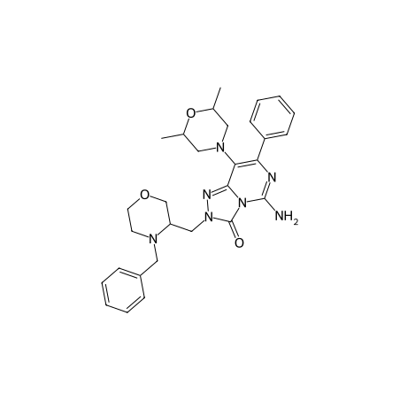 CC1CN(c2c(-c3ccccc3)nc(N)n3c(=O)n(CC4COCCN4Cc4ccccc4)nc23)CC(C)O1